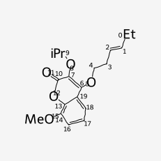 CCC=CCCOc1c(OC(C)C)c(=O)oc2c(OC)cccc12